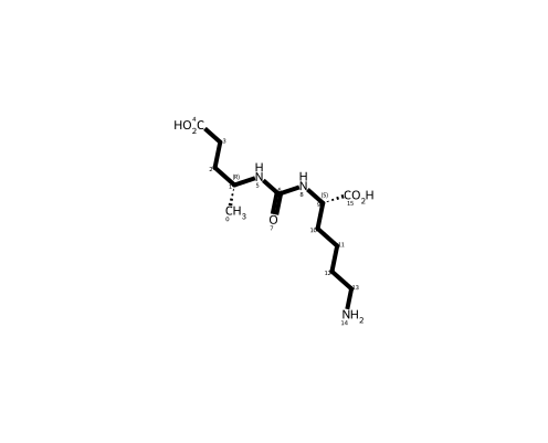 C[C@H](CCC(=O)O)NC(=O)N[C@@H](CCCCN)C(=O)O